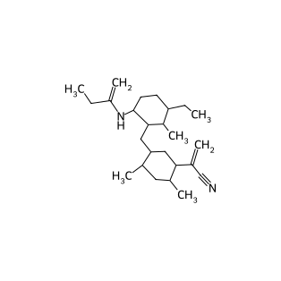 C=C(CC)NC1CCC(CC)C(C)C1CC1CC(C(=C)C#N)C(C)CC1C